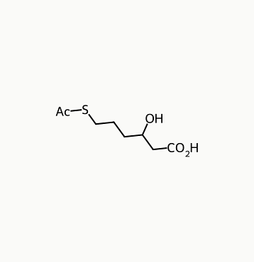 CC(=O)SCCCC(O)CC(=O)O